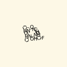 O=C1N[C@@H](Cc2ccc(F)cc2)C(O)N[C@H](Cc2ccccc2)C(=O)N[C@@H](Cc2ccccc2)C(=O)N2CCC[C@H]12